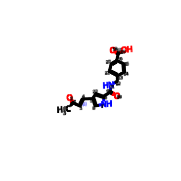 CC(=O)/C=C/c1c[nH]c(C(=O)NCc2ccc(C(=O)O)cc2)c1